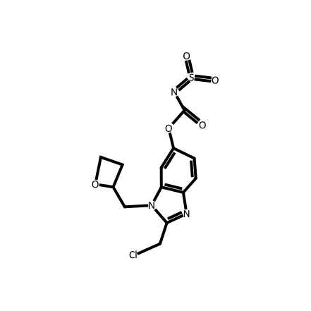 O=C(N=S(=O)=O)Oc1ccc2nc(CCl)n(CC3CCO3)c2c1